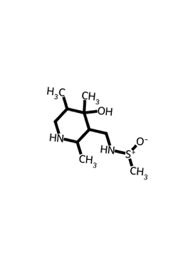 CC1NCC(C)C(C)(O)C1CN[S+](C)[O-]